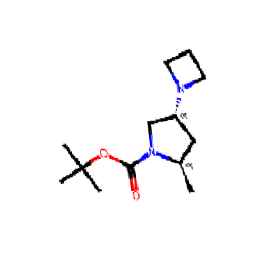 C[C@@H]1C[C@@H](N2CCC2)CN1C(=O)OC(C)(C)C